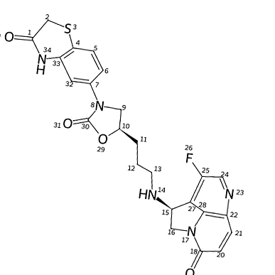 O=C1CSc2ccc(N3C[C@@H](CCCN[C@@H]4Cn5c(=O)ccc6ncc(F)c4c65)OC3=O)cc2N1